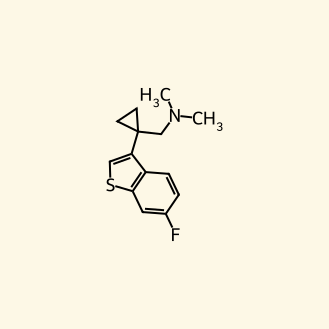 CN(C)CC1(c2csc3cc(F)ccc23)CC1